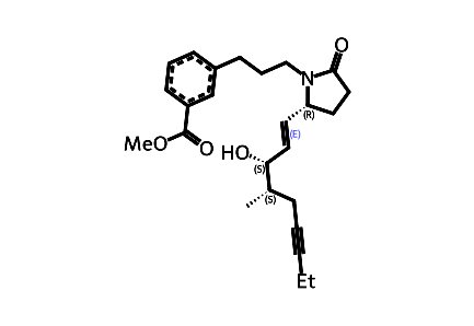 CCC#CC[C@H](C)[C@H](O)/C=C/[C@H]1CCC(=O)N1CCCc1cccc(C(=O)OC)c1